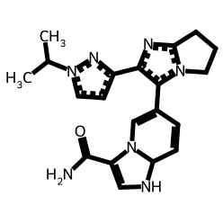 CC(C)n1ccc(-c2nc3n(c2C2=CN4C(C(N)=O)=CNC4C=C2)CCC3)n1